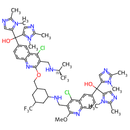 COc1nc2ccc(C(O)(c3cnc(C)n3C)c3cnc(C)n3C)cc2c(Cl)c1CNC1CC(COc2nc3ccc(C(O)(c4cnc(C)n4C)c4cnc(C)n4C)cc3c(Cl)c2CN[C@@H](C)C(F)(F)F)CC(C(F)(F)F)C1